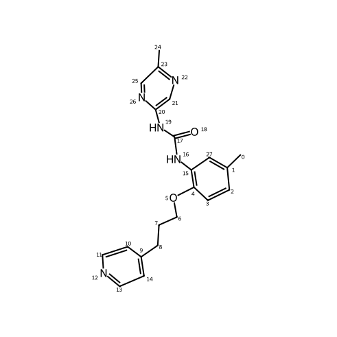 Cc1ccc(OCCCc2ccncc2)c(NC(=O)Nc2cnc(C)cn2)c1